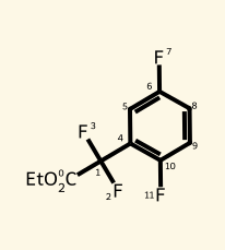 CCOC(=O)C(F)(F)c1cc(F)ccc1F